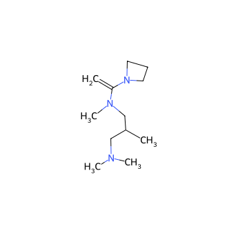 C=C(N(C)CC(C)CN(C)C)N1CCC1